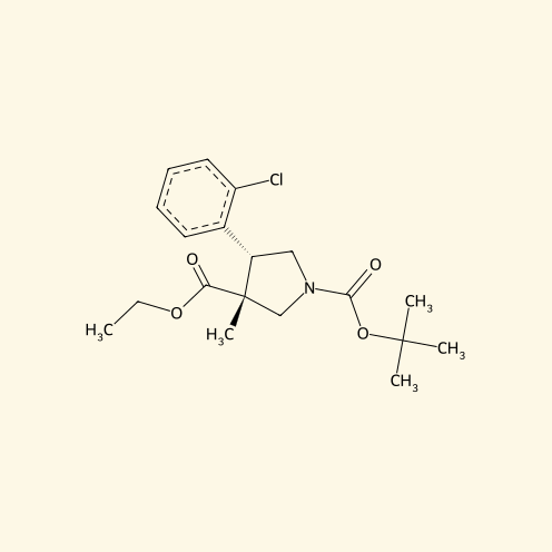 CCOC(=O)[C@@]1(C)CN(C(=O)OC(C)(C)C)C[C@H]1c1ccccc1Cl